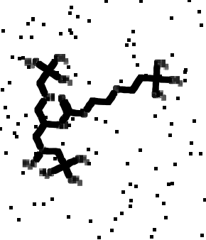 CN(CC(CNCC(C)(C)C)NC(=O)OCCOCCC(C)(C)C)CC(C)(C)C